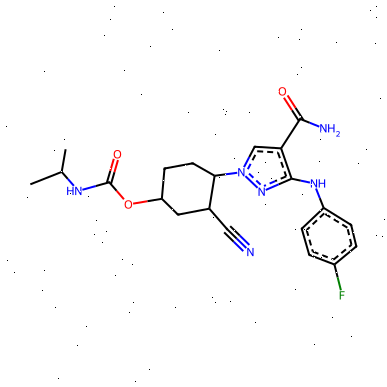 CC(C)NC(=O)OC1CCC(n2cc(C(N)=O)c(Nc3ccc(F)cc3)n2)C(C#N)C1